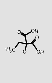 [CH2]CC([O])(C(=O)O)C(=O)O